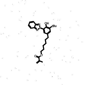 C=C(C)C(=O)OCCCCCCc1cc(-n2nc3ccccc3n2)c(O)c(C(C)(C)C)c1